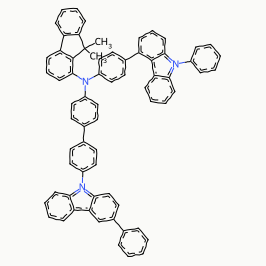 CC1(C)c2ccccc2-c2cccc(N(c3ccc(-c4ccc(-n5c6ccccc6c6cc(-c7ccccc7)ccc65)cc4)cc3)c3ccc(-c4cccc5c4c4ccccc4n5-c4ccccc4)cc3)c21